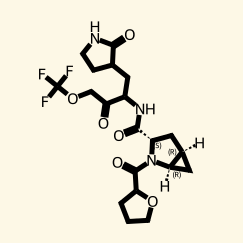 O=C1NCCC1CC(NC(=O)[C@@H]1C[C@H]2C[C@H]2N1C(=O)C1CCCO1)C(=O)COC(F)(F)F